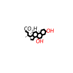 C[C@H](CCC(=O)O)[C@H]1CCC2C3C(O)CC4C[C@H](O)CC[C@]4(C)C3CC[C@@]21C